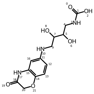 O=C(O)NCC(O)C(O)CNc1ccc2c(c1)NC(=O)CO2